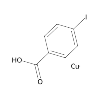 O=C(O)c1ccc(I)cc1.[Cu]